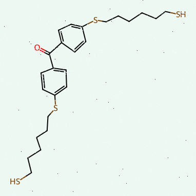 O=C(c1ccc(SCCCCCCS)cc1)c1ccc(SCCCCCCS)cc1